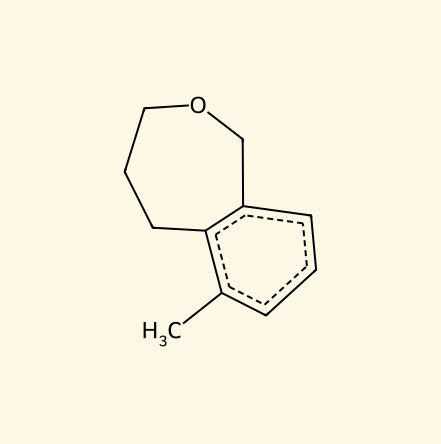 Cc1cccc2c1CCCOC2